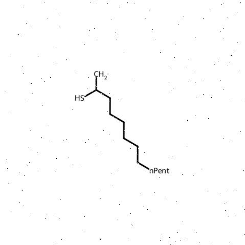 [CH2]C(S)CCCCCCCCCCC